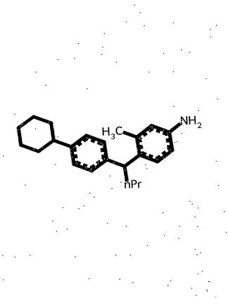 CCCC(c1ccc(C2CCCCC2)cc1)c1ccc(N)cc1C